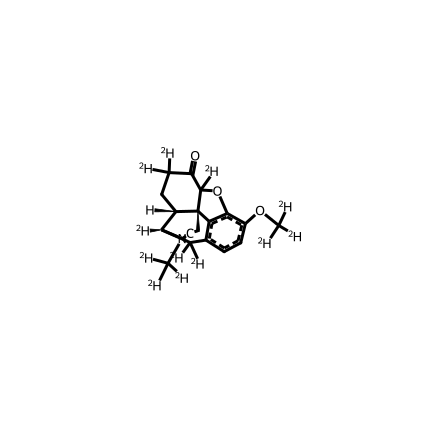 [2H]C([2H])([2H])Oc1ccc2c3c1OC1([2H])C(=O)C([2H])([2H])C[C@@H]4[C@@]31CCN(C([2H])([2H])[2H])[C@]4([2H])C2([2H])[2H]